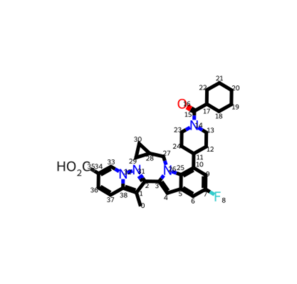 Cc1c(-c2cc3cc(F)cc(C4CCN(C(=O)C5CCCCC5)CC4)c3n2CC2CC2)nn2cc(C(=O)O)ccc12